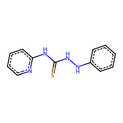 S=C(NNc1ccccc1)Nc1ccccn1